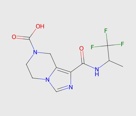 CC(NC(=O)c1ncn2c1CN(C(=O)O)CC2)C(F)(F)F